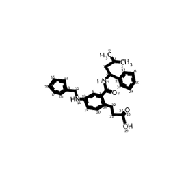 CC(C)CC(NC(=O)c1cc(NCc2ccccc2)ccc1CCC(=O)O)c1ccccc1